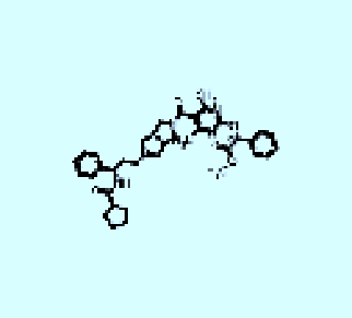 COC(=O)[C@H](Oc1nc(C)c(C(=O)N2CC3CN(CCC(NC(=O)C4CCCC4)c4ccccc4)CC3C2)c(C)n1)c1ccccc1